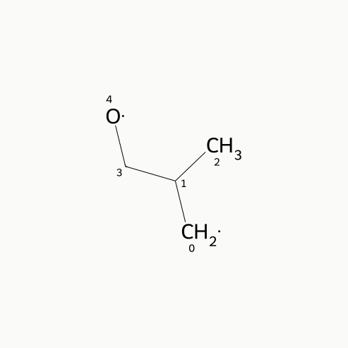 [CH2]C(C)C[O]